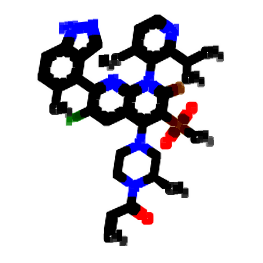 C=CC(=O)N1CCN(c2c(S(C)(=O)=O)c(=S)n(-c3c(C)ccnc3C(C)C)c3nc(-c4c(C)ccc5[nH]ncc45)c(F)cc23)C[C@H]1C